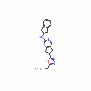 CCOC(=O)Cc1nnc(C2Cc3cnc(NC4Cc5ccccc5C4)nc3C2)o1